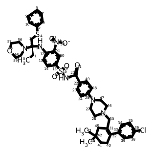 CC[C@@](CSc1ccccc1)(Nc1ccc(S(=O)(=O)NC(=O)c2ccc(N3CCN(CC4=C(c5ccc(Cl)cc5)CCC(C)(C)C4)CC3)cc2)cc1[N+](=O)[O-])N1CCOCC1